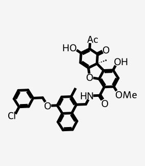 COc1cc(O)c2c(c1C(=O)NCc1c(C)cc(OCc3cccc(Cl)c3)c3ccccc13)OC1=CC(O)=C(C(C)=O)C(=O)[C@]12C